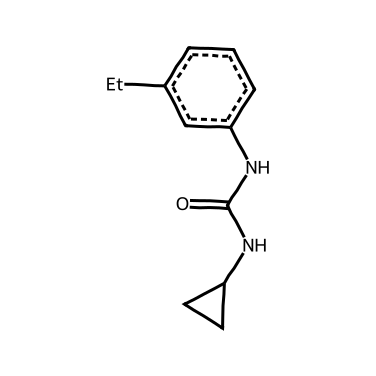 CCc1cccc(NC(=O)NC2CC2)c1